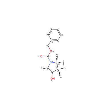 CC1C(O)[C@H]2CC[C@H]2N1C(=O)OCc1ccccc1